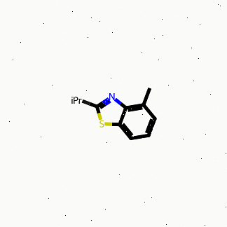 Cc1cccc2sc(C(C)C)nc12